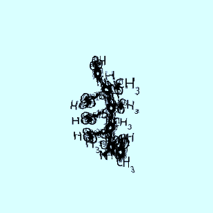 CC(=O)Nc1cc(N=Nc2cc(SCCCS(=O)(=O)O)c(N=Nc3cc(OCCCS(=O)(=O)O)c(N=Nc4c(C)c(C#N)c5nc6c(C)ccc(S(=O)(=O)O)c6n5c4O)cc3C)cc2NC(C)=O)c(SCCCS(=O)(=O)O)cc1N=Nc1ccc(S(=O)(=O)O)cc1